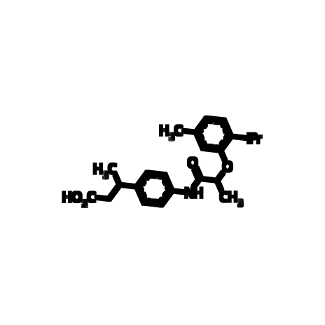 Cc1ccc(C(C)C)c(OC(C)C(=O)Nc2ccc(C(C)CC(=O)O)cc2)c1